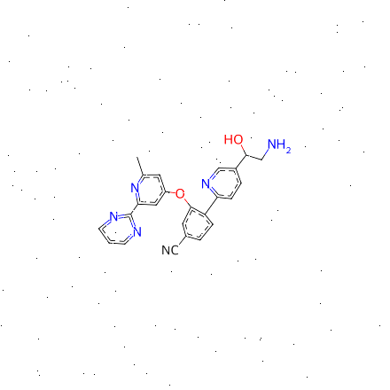 Cc1cc(Oc2cc(C#N)ccc2-c2ccc(C(O)CN)cn2)cc(-c2ncccn2)n1